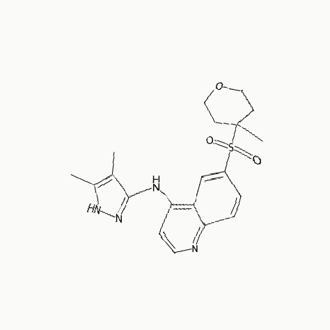 Cc1[nH]nc(Nc2ccnc3ccc(S(=O)(=O)C4(C)CCOCC4)cc23)c1C